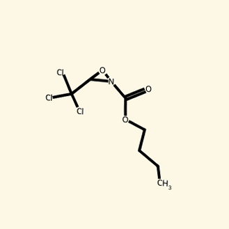 CCCCOC(=O)N1OC1C(Cl)(Cl)Cl